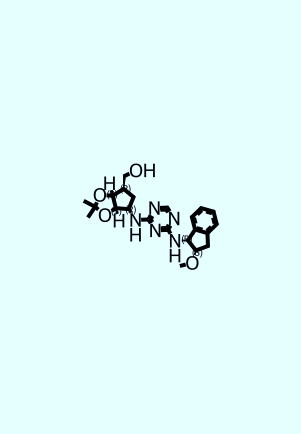 CO[C@H]1Cc2ccccc2[C@H]1Nc1ncnc(N[C@@H]2C[C@H](CO)[C@H]3OC(C)(C)O[C@H]32)n1